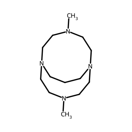 CN1CCN2CCCN(CC1)CCN(C)CC2